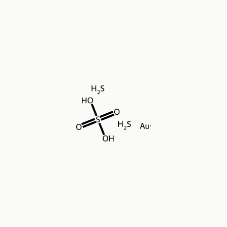 O=S(=O)(O)O.S.S.[Au]